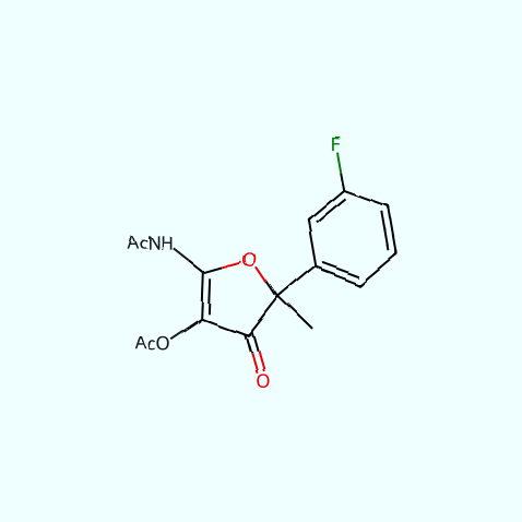 CC(=O)NC1=C(OC(C)=O)C(=O)C(C)(c2cccc(F)c2)O1